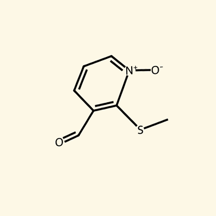 CSc1c(C=O)ccc[n+]1[O-]